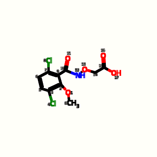 COc1c(Cl)ccc(Cl)c1C(=O)NOCC(=O)O